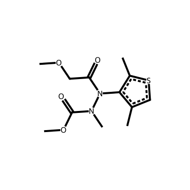 COCC(=O)N(c1c(C)csc1C)N(C)C(=O)OC